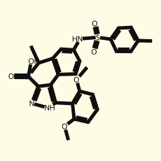 COc1cccc(OC)c1-c1[nH]nc(C(=O)O)c1-c1ccc(NS(=O)(=O)c2ccc(C)cc2)cc1C(C)C